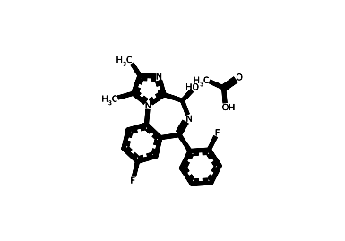 CC(=O)O.Cc1nc2n(c1C)-c1ccc(F)cc1C(c1ccccc1F)=NC2O